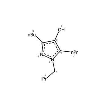 CCCCc1nn(CC(C)C)c(CCC)c1O